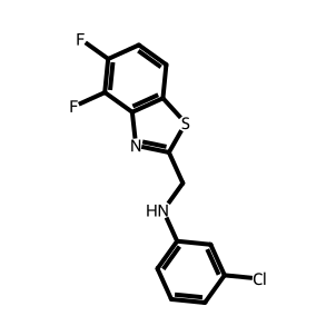 Fc1ccc2sc(CNc3cccc(Cl)c3)nc2c1F